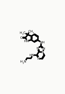 CC1(C)C(=O)Nc2cc(Nc3nc4c(NCCN)nccn4n3)ccc21